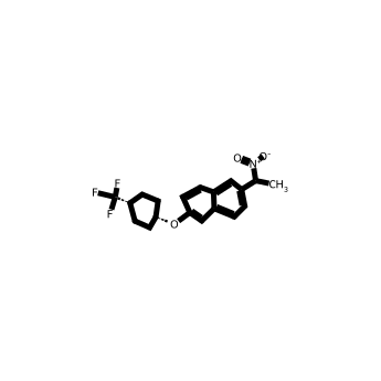 CC(c1ccc2cc(O[C@H]3CC[C@@H](C(F)(F)F)CC3)ccc2c1)[N+](=O)[O-]